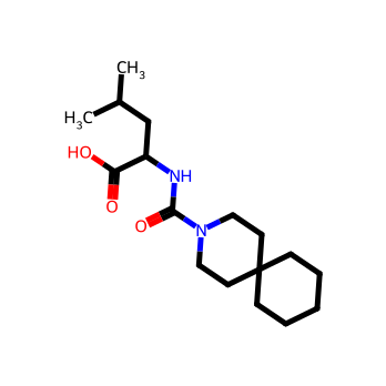 CC(C)CC(NC(=O)N1CCC2(CCCCC2)CC1)C(=O)O